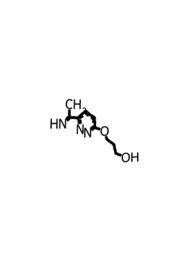 CC(=N)c1ccc(OCCCO)nn1